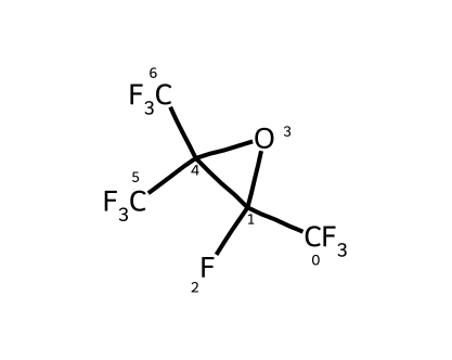 FC(F)(F)C1(F)OC1(C(F)(F)F)C(F)(F)F